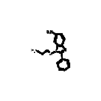 NCCOn1c(-c2ccccc2)nc2ccc([N+](=O)[O-])cc21